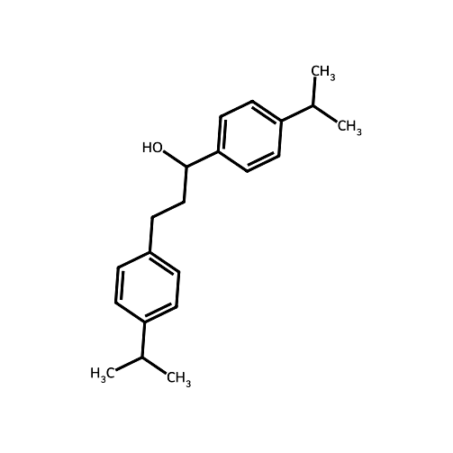 CC(C)c1ccc(CCC(O)c2ccc(C(C)C)cc2)cc1